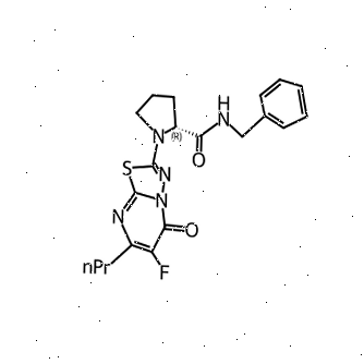 CCCc1nc2sc(N3CCC[C@@H]3C(=O)NCc3ccccc3)nn2c(=O)c1F